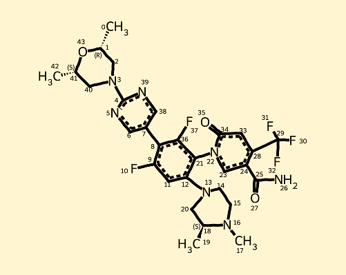 C[C@@H]1CN(c2ncc(-c3c(F)cc(N4CCN(C)[C@@H](C)C4)c(-n4cc(C(N)=O)c(C(F)(F)F)cc4=O)c3F)cn2)C[C@H](C)O1